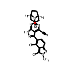 Cn1nc2ccc(-c3n[nH]c4nc(N5[C@@H]6CC[C@H]5CC(N)C6)nc(C#N)c34)c(Cl)c2c1Cl